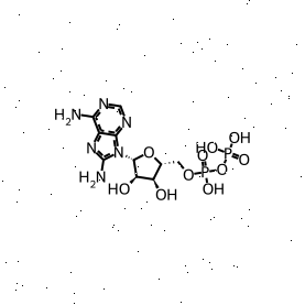 Nc1ncnc2c1nc(N)n2[C@@H]1O[C@H](COP(=O)(O)OP(=O)(O)O)[C@@H](O)[C@H]1O